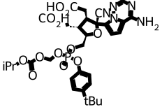 CC(C)OC(=O)OCOP(=O)(OC[C@@H]1O[C@@](C#N)(c2ccc3c(N)ncnn23)[C@H](CC(=O)O)[C@H]1CC(=O)O)Oc1ccc(C(C)(C)C)cc1